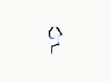 Cc1cn2[c]cccc2n1